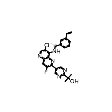 C=Cc1cccc([C@@H](C)Nc2c(Cl)cnc3cc(F)c(-c4cnc(C(C)(C)O)nc4)nc23)c1